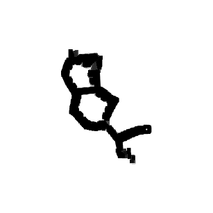 NC(=O)n1ccc2cnnc-2c1